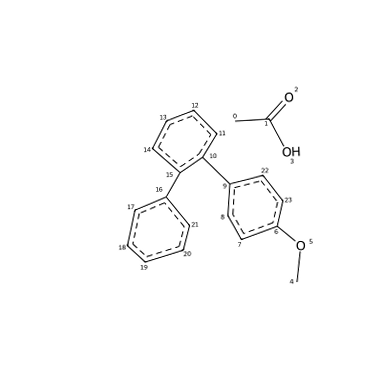 CC(=O)O.COc1ccc(-c2ccccc2-c2ccccc2)cc1